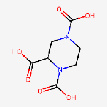 O=C(O)C1CN(C(=O)O)CCN1C(=O)O